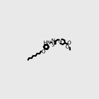 CCCCCCCCOc1ccc(Nc2nc(CN3CCC(C(=O)OCC)CC3)cs2)cc1